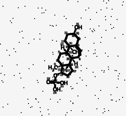 C[C@]12CC[C@H]3[C@@H](CC=C4C[C@H](O)CC[C@@]43C)[C@@H]1CC[C@@H]2OP(=O)(O)O